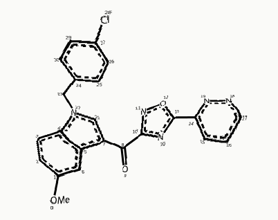 COc1ccc2c(c1)c(C(=O)c1noc(-c3cccnn3)n1)cn2Cc1ccc(Cl)cc1